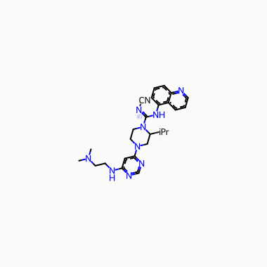 CC(C)C1CN(c2cc(NCCN(C)C)ncn2)CCN1/C(=N/C#N)Nc1cccc2ncccc12